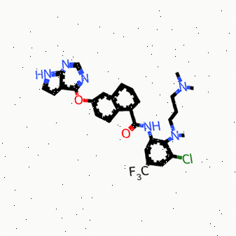 CN(C)CCCN(C)c1c(Cl)cc(C(F)(F)F)cc1NC(=O)c1cccc2cc(Oc3ncnc4[nH]ccc34)ccc12